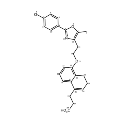 Cc1oc(-c2ccc(Cl)cc2)nc1CCOc1cccc2c1CCC=C2CCC(=O)O